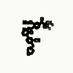 COc1cc(C(=O)N(C)C)ccc1-c1cc2nccc(-c3ccc(CN4CCOCC4)c(C#N)c3)c2o1